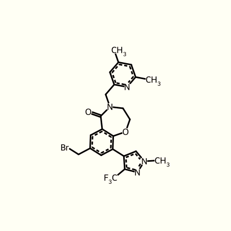 Cc1cc(C)nc(CN2CCOc3c(cc(CBr)cc3-c3cn(C)nc3C(F)(F)F)C2=O)c1